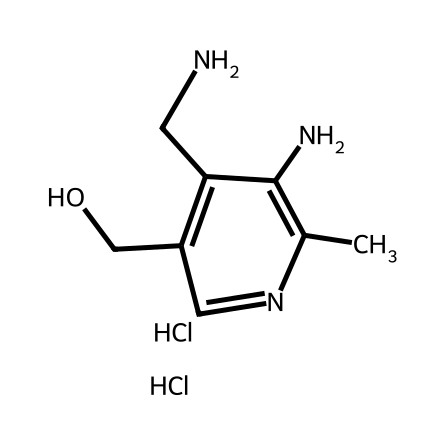 Cc1ncc(CO)c(CN)c1N.Cl.Cl